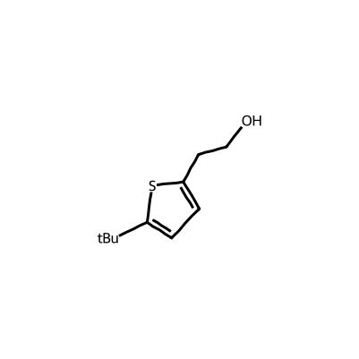 CC(C)(C)c1ccc(CCO)s1